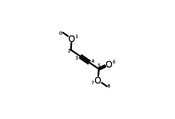 COCC#CC(=O)OC